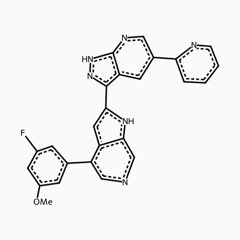 COc1cc(F)cc(-c2cncc3[nH]c(-c4n[nH]c5ncc(-c6ccccn6)cc45)cc23)c1